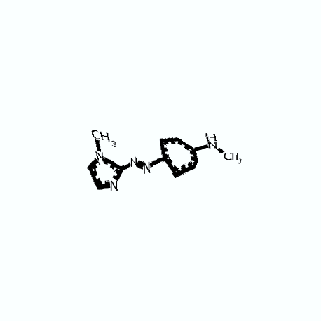 CNc1ccc(/N=N/c2nccn2C)cc1